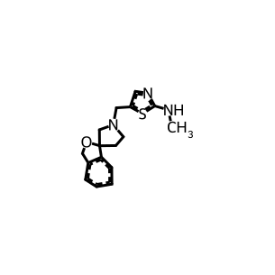 CNc1ncc(CN2CCC3(C2)OCc2ccccc23)s1